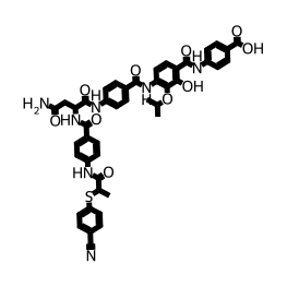 CC(C)Oc1c(NC(=O)c2ccc(NC(=O)C(CC(N)=O)NC(=O)c3ccc(NC(=O)C(C)Sc4ccc(C#N)cc4)cc3)cc2)ccc(C(=O)Nc2ccc(C(=O)O)cc2)c1O